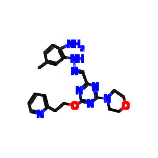 Cc1ccc(N)c(NN=Cc2nc(OCCc3ccccn3)nc(N3CCOCC3)n2)c1